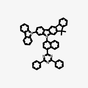 CC1(C)c2ccccc2-c2cc3c4ccc(-n5c6ccccc6c6ccccc65)cc4n(-c4ccc(-c5nc(-c6ccccc6)nc(-c6ccccc6)n5)c5ccccc45)c3cc21